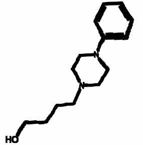 OCCCCN1CCN(c2ccccc2)CC1